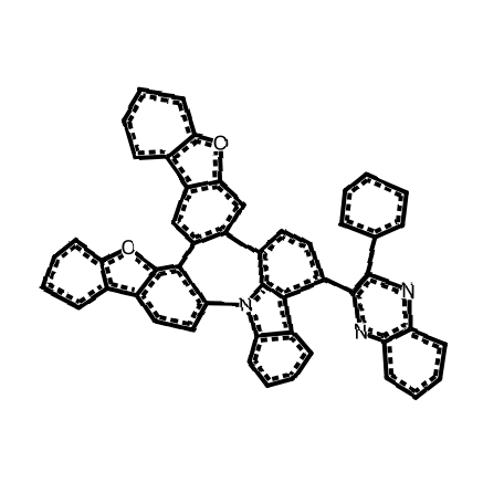 c1ccc(-c2nc3ccccc3nc2-c2ccc3c4c2c2ccccc2n4-c2ccc4c(oc5ccccc54)c2-c2cc4c(cc2-3)oc2ccccc24)cc1